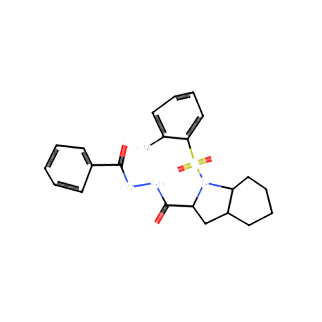 O=C(NNC(=O)C1CC2CCCCC2N1S(=O)(=O)c1ccccc1[N+](=O)[O-])c1ccccc1